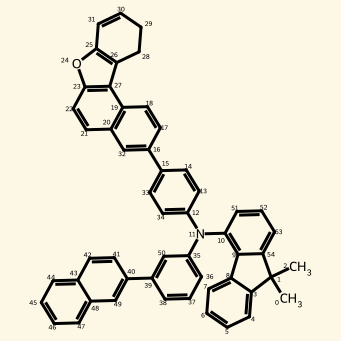 CC1(C)c2ccccc2-c2c(N(c3ccc(-c4ccc5c(ccc6oc7c(c65)CCC=C7)c4)cc3)c3cccc(-c4ccc5ccccc5c4)c3)cccc21